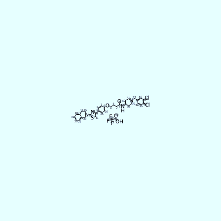 O=C(CCCOc1ccc(-c2csc(N3CCc4ccccc4C3)n2)cc1)NC1CCN(Cc2ccc(Cl)c(Cl)c2)CC1.O=C(O)C(F)(F)F